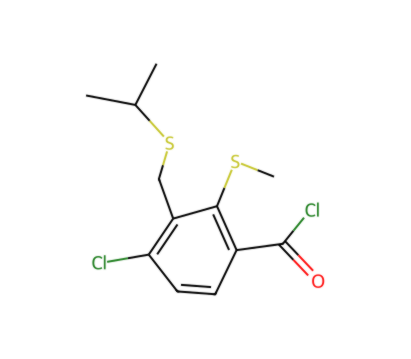 CSc1c(C(=O)Cl)ccc(Cl)c1CSC(C)C